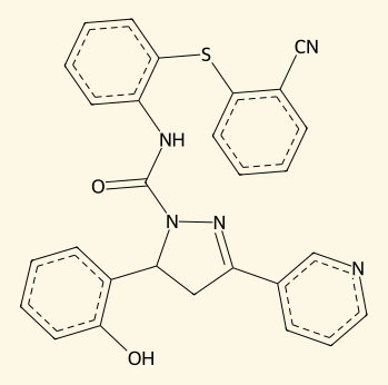 N#Cc1ccccc1Sc1ccccc1NC(=O)N1N=C(c2cccnc2)CC1c1ccccc1O